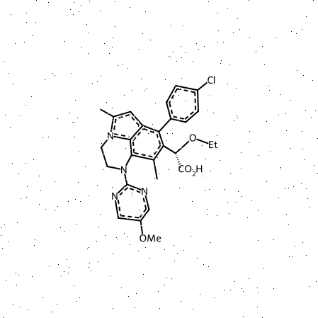 CCO[C@H](C(=O)O)c1c(C)c2c3c(cc(C)n3CCN2c2ncc(OC)cn2)c1-c1ccc(Cl)cc1